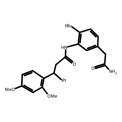 COc1ccc(C(CC(=O)Nc2cc(CC(N)=O)ccc2C(C)(C)C)C(C)C)c(OC)c1